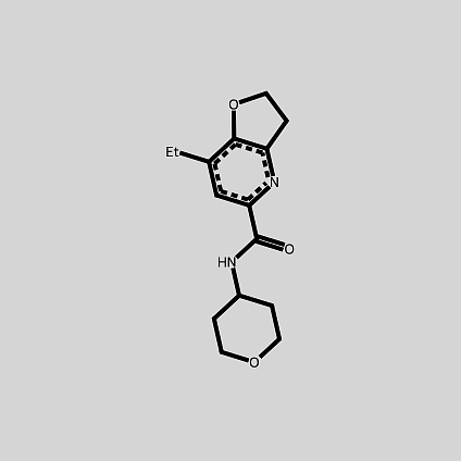 CCc1cc(C(=O)NC2CCOCC2)nc2c1OCC2